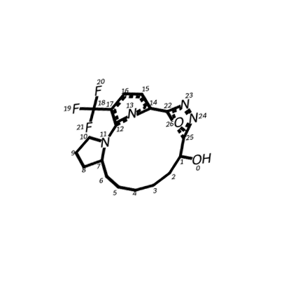 OC1CCCCCC2CCCN2c2nc(ccc2C(F)(F)F)-c2nnc1o2